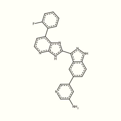 Nc1cncc(-c2ccc3[nH]nc(-c4nc5c(-c6ccccc6F)ccnc5[nH]4)c3c2)c1